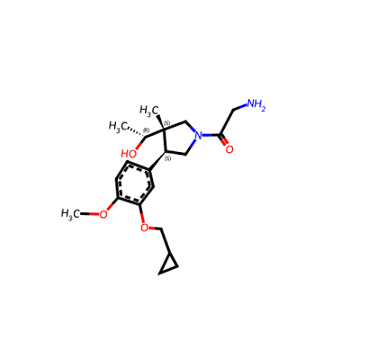 COc1ccc([C@@H]2CN(C(=O)CN)C[C@@]2(C)[C@@H](C)O)cc1OCC1CC1